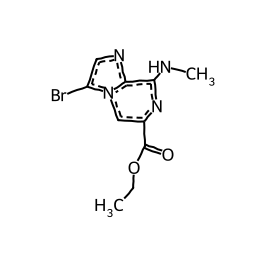 CCOC(=O)c1cn2c(Br)cnc2c(NC)n1